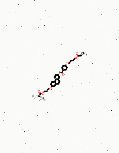 C=CC(=O)OCCCCOc1ccc(C(=O)Sc2ccc3c(ccc4cc(OCCCOC(=O)C(=C)C)ccc43)c2)cc1